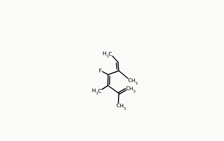 C=C(C)/C(C)=C(F)\C(C)=C/C